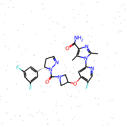 Cc1nc(C(N)=O)c(C)n1-c1cc(OC2CN(C(=O)N3N=CC[C@H]3c3cc(F)cc(F)c3)C2)c(F)cn1